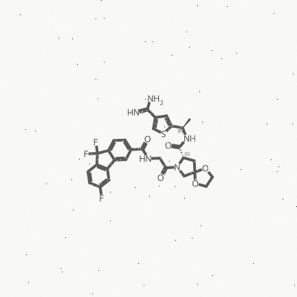 C[C@@H](NC(=O)[C@@H]1CC2(CN1C(=O)CNC(=O)c1ccc3c(c1)-c1cc(F)ccc1C3(F)F)OCCO2)c1cc(C(=N)N)cs1